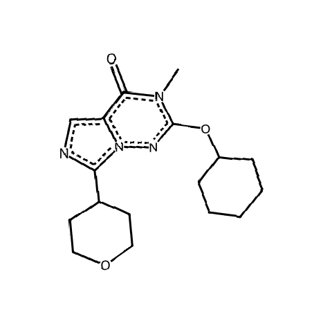 Cn1c(OC2CCCCC2)nn2c(C3CCOCC3)ncc2c1=O